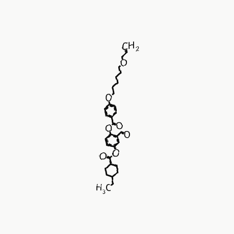 C=CCOCCCCCCOc1ccc(C(=O)Oc2ccc(OC(=O)C3CCC(CC)CC3)cc2C=O)cc1